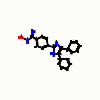 N=C(NO)c1ccc(-c2nc(-c3ccccc3)c(-c3ccccc3)[nH]2)cc1